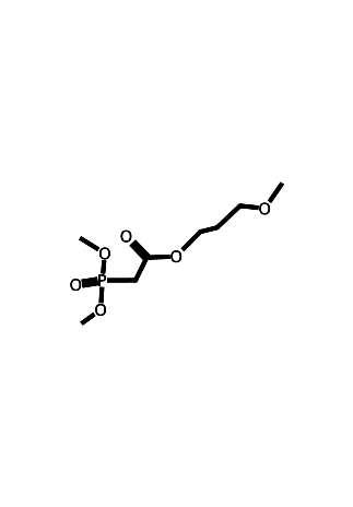 COCCCOC(=O)CP(=O)(OC)OC